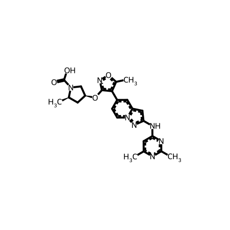 Cc1cc(Nc2cc3cc(-c4c(O[C@H]5C[C@@H](C)N(C(=O)O)C5)noc4C)ccn3n2)nc(C)n1